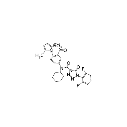 Cc1ccc(C)n1-c1ccc(N(C(=O)n2nnn(-c3c(F)cccc3F)c2=O)C2CCCCC2)cc1C(=O)O